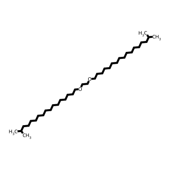 CC(C)CCCCCCCCCCCCCCCOCCOCCCCCCCCCCCCCCCC(C)C